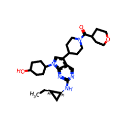 CC[C@@H]1C[C@H]1Nc1ncc2c(C3CCN(C(=O)C4CCOCC4)CC3)cn(C3CCC(O)CC3)c2n1